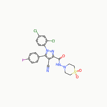 N#Cc1c(C(=O)NN2CCS(=O)(=O)CC2)nn(-c2ccc(Cl)cc2Cl)c1-c1ccc(I)cc1